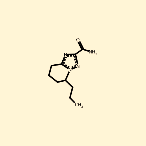 CCCC1CCCc2nc(C(N)=O)nn21